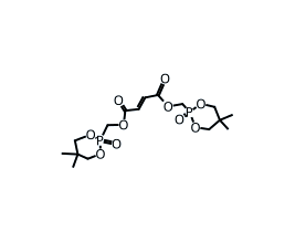 CC1(C)COP(=O)(COC(=O)/C=C/C(=O)OCP2(=O)OCC(C)(C)CO2)OC1